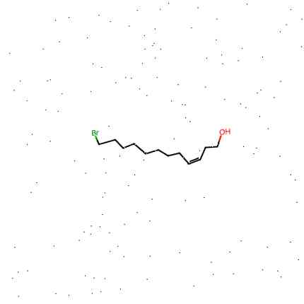 OCC/C=C\CCCCCCCCBr